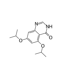 CC(C)Oc1cc(OC(C)C)c2c(=O)[nH]cnc2c1